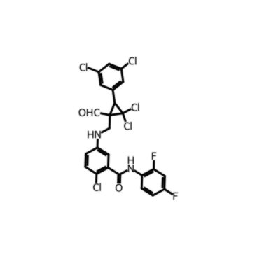 O=CC1(CNc2ccc(Cl)c(C(=O)Nc3ccc(F)cc3F)c2)C(c2cc(Cl)cc(Cl)c2)C1(Cl)Cl